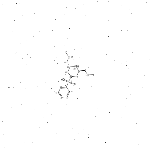 COC[C@H]1CN(S(=O)(=O)c2ccccc2)C[C@H](COC)N1